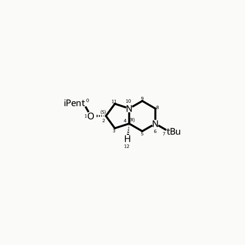 CCCC(C)O[C@H]1C[C@@H]2CN(C(C)(C)C)CCN2C1